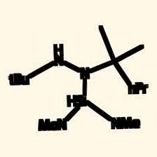 CCCC(C)(C)N(NC(C)(C)C)[SiH](NC)NC